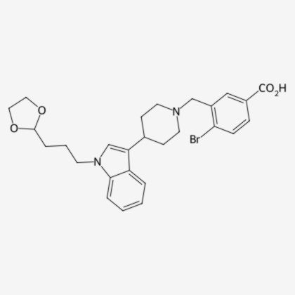 O=C(O)c1ccc(Br)c(CN2CCC(c3cn(CCCC4OCCO4)c4ccccc34)CC2)c1